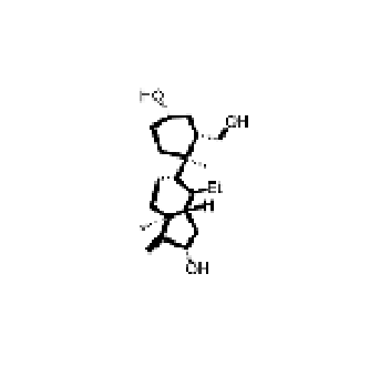 C=C1[C@@H](O)C[C@H]2[C@H](CC)[C@@H]([C@@]3(C)CC[C@H](O)C[C@@H]3CO)CC[C@]12C